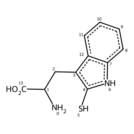 NC(Cc1c(S)[nH]c2ccccc12)C(=O)O